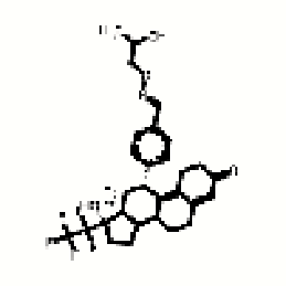 CC(C)CO/N=C/c1ccc([C@H]2C[C@@]3(C)C(CC[C@@]3(O)C(F)(F)C(F)(F)F)C3CCC4=CC(=O)CCC4=C32)cc1